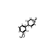 COc1cccc(C2C=CN(C)CC2)c1